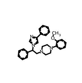 COc1ccccc1N1CCN(CC(c2ccccc2)n2cnc(-c3ccccc3)c2)CC1